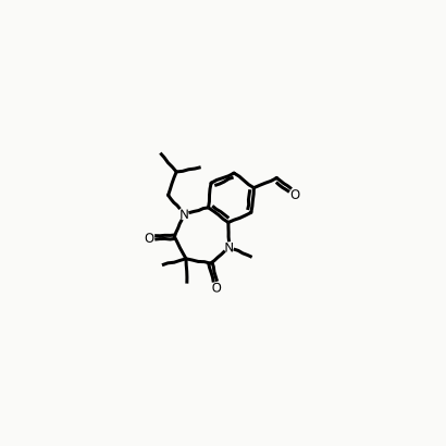 CC(C)CN1C(=O)C(C)(C)C(=O)N(C)c2cc(C=O)ccc21